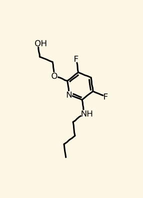 CCCCNc1nc(OCCO)c(F)cc1F